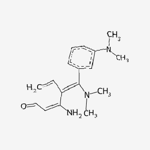 C=CC(=C(\c1cccc(N(C)C)c1)N(C)C)/C(N)=C\C=O